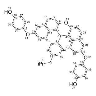 CC(C)Cc1ccc(C2c3c(ccc4cc(Oc5ccc(O)cc5)ccc34)Oc3ccc4cc(Oc5ccc(O)cc5)ccc4c32)cc1